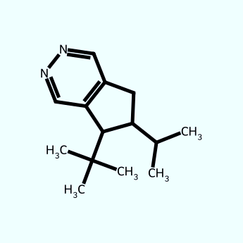 CC(C)C1Cc2cnncc2C1C(C)(C)C